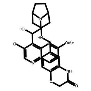 COc1ccc2ncc(Cl)c(C(O)CN3C4CCC3CC(NCc3ccc5c(c3)NC(=O)CO5)C4)c2n1